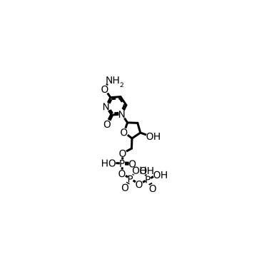 NOc1ccn(C2CC(O)C(COP(=O)(O)OP(=O)(O)OP(=O)(O)O)O2)c(=O)n1